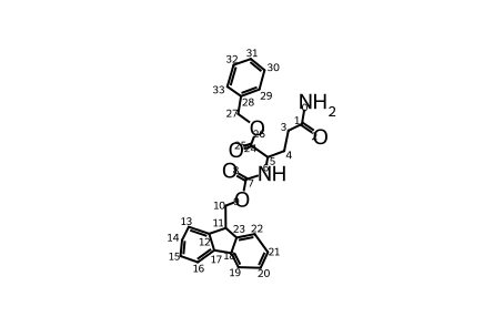 NC(=O)CCC(NC(=O)OCC1c2ccccc2-c2ccccc21)C(=O)OCc1ccccc1